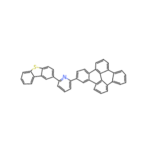 c1cc(-c2ccc3sc4ccccc4c3c2)nc(-c2ccc3c(c2)c2cccc4c5ccccc5c5cccc3c5c42)c1